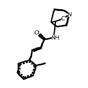 Cc1ccccc1C=CC(=O)NC1CN2CCC1CC2